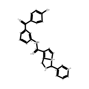 O=C(c1ccc(Cl)cc1)c1cccc(NC(=O)c2ccn3c2CSC3c2cccnc2)c1